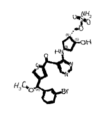 CO[C@H](c1cccc(Br)c1)c1csc(C(=O)c2cncnc2N[C@@H]2C[C@H](COS(N)(=O)=O)[C@@H](O)C2)c1